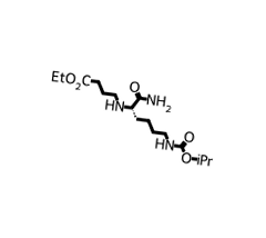 CCOC(=O)CCCN[C@@H](CCCCNC(=O)OC(C)C)C(N)=O